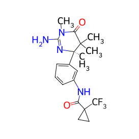 CN1C(=O)C(C)(C)[C@@](C)(c2cccc(NC(=O)C3(C(F)(F)F)CC3)c2)N=C1N